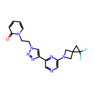 O=c1ccccn1CCn1cc(-c2cncc(N3CC4(C3)CC4(F)F)n2)nn1